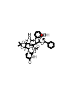 CO[C@@](C(=O)O)(C(OCc1ccccc1)OP(=O)(O)O)N(c1ccccc1)C(O)[C@H]1O[C@@H](n2ccc(=O)[nH]c2=O)[C@]2(C)OC(C)(C)O[C@H]12